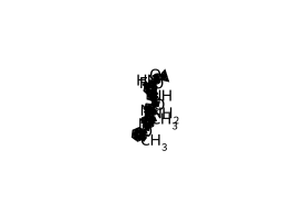 Cc1ccccc1Oc1cc(C)c(-n2ncc(C(=O)c3cc4cc(F)c(NS(=O)(=O)C5CC5)cc4[nH]3)c2N)cn1